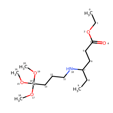 CCOC(=O)CCC(CC)NCCC[Si](OC)(OC)OC